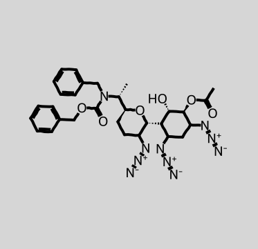 CC(=O)O[C@H]1C(N=[N+]=[N-])CC(N=[N+]=[N-])C([C@H]2O[C@H]([C@@H](C)N(Cc3ccccc3)C(=O)OCc3ccccc3)CCC2N=[N+]=[N-])[C@@H]1O